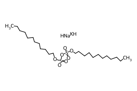 CCCCCCCCCCCCOS(=O)(=O)OS(=O)(=O)OCCCCCCCCCCCC.[KH].[NaH]